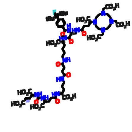 CC(C)(C)[Si](F)(c1ccc(C(=O)N[C@H](CNC(=O)CC[C@H](C(=O)O)N2CCN(CC(=O)O)CCN(CC(=O)O)CCN(CC(=O)O)CC2)C(=O)N[C@@H](CCCCNC(=O)CCC(=O)NCCC[C@H](NC(=O)CC[C@H](NC(=O)N[C@@H](/C=C/C(=O)O)C(=O)O)C(=O)O)C(=O)O)C(=O)O)cc1)C(C)(C)C